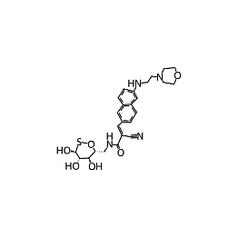 N#C/C(=C\c1ccc2cc(NCCN3CCOCC3)ccc2c1)C(=O)NC[C@H]1OS[C@H](O)[C@@H](O)[C@@H]1O